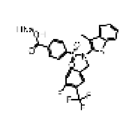 Cc1c(N(Cc2ccc(F)c(C(F)(F)F)c2)S(=O)(=O)c2ccc(C(=O)O)cc2)sc2ccccc12.[NaH]